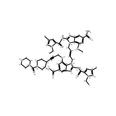 CCn1nc(C)cc1C(=O)Nc1nc2cc(C(N)=O)cc(OC)c2n1CC=CCn1c(NC(=O)c2cc(C)nn2CC)nc2cc(C(N)=O)cc(OCC#CC3CCN(C(=O)N4CCOCC4)CC3)c21